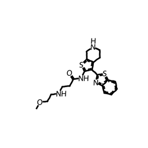 COCCNCCC(=O)Nc1sc2c(c1-c1nc3ccccc3s1)CCNC2